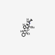 CCSC1CCCCC1NC(=O)[C@@H]1CCCN1C(=O)[C@@H](N(N)/C=C(\N)C1CC1)C(C)(C)C